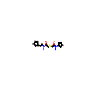 O=C(CSCC(=O)NC1CCCC1)NCCC1CCCC1